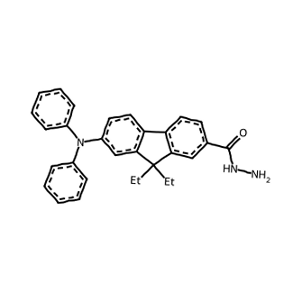 CCC1(CC)c2cc(C(=O)NN)ccc2-c2ccc(N(c3ccccc3)c3ccccc3)cc21